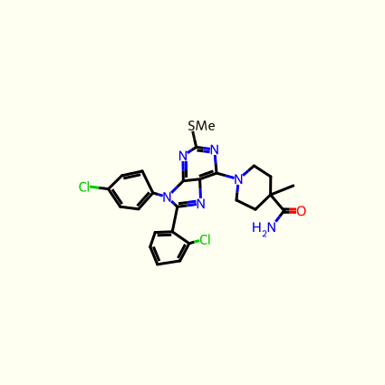 CSc1nc(N2CCC(C)(C(N)=O)CC2)c2nc(-c3ccccc3Cl)n(-c3ccc(Cl)cc3)c2n1